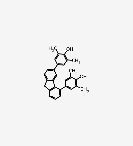 Cc1cc(-c2ccc3c(c2)-c2c(cccc2-c2cc(C)c(O)c(C)c2)C3)cc(C)c1O